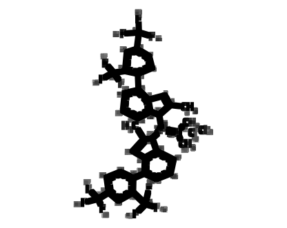 CC1=Cc2c(-c3ccc(C(F)(F)F)cc3C(F)(F)F)cccc2[CH]1[Zr+2]([CH]1C(C)=Cc2c(-c3ccc(C(F)(F)F)cc3C(F)(F)F)cccc21)=[Si](C)C.[Cl-].[Cl-]